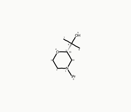 CC(C)N1CCO[C@H](C(C)(C)O)C1